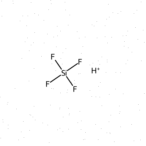 F[Si](F)(F)F.[H+]